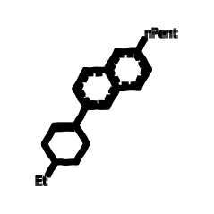 CCCCCc1ccc2cc(C3=CCC(CC)CC3)ccc2c1